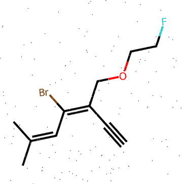 C#C/C(COCCF)=C(/Br)C=C(C)C